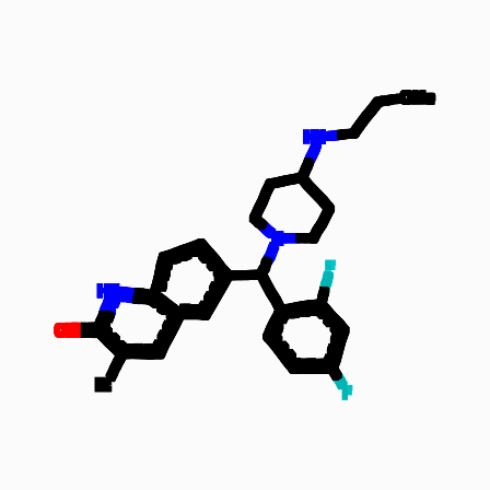 CCc1cc2cc(C(c3ccc(F)cc3F)N3CCC(NCCOC)CC3)ccc2[nH]c1=O